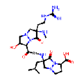 CNC1(CCNC(=N)N)CN2CC(O)C([C](=O)[Ra][NH]C3(CC(C)C)CN4CCC(C(=O)O)N4C3=O)N2C1=O